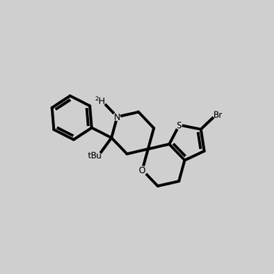 [2H]N1CCC2(CC1(c1ccccc1)C(C)(C)C)OCCc1cc(Br)sc12